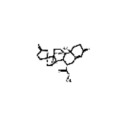 COC(=O)[C@@H]1CC2=CC(=O)CCC2(C)[C@@]2(O)CCC3(C)C(CC[C@@]34CCC(=O)O4)C12